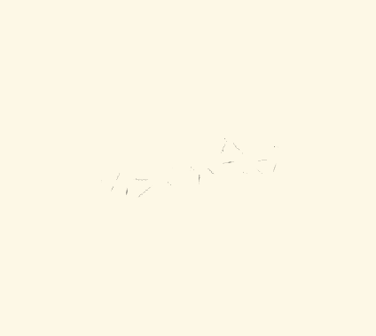 CS(=O)(=O)c1ccc(CN2CCC(NC(=O)c3cc4c(Nc5cccc(C#N)c5)ncnc4s3)CC2)cc1